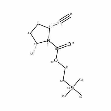 C#C[C@H]1CC[C@@H](C)N1C(=O)OCC[Si](C)(C)C